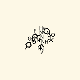 CCn1cc(Nc2nc(N[C@H]3CN(C(=O)OC(C)(C)C)CC[C@H]3C)c3c(F)cn(S(=O)(=O)c4ccc(C)cc4)c3n2)cn1